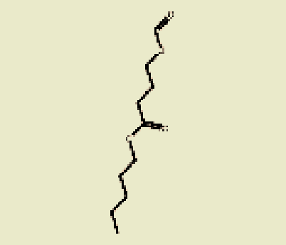 CCCCCOC(=O)CCCO[C]=O